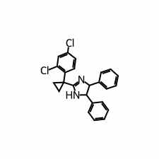 Clc1ccc(C2(C3=NC(c4ccccc4)C(c4ccccc4)N3)CC2)c(Cl)c1